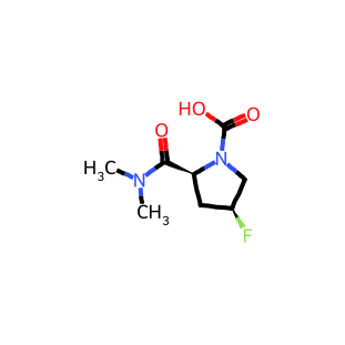 CN(C)C(=O)[C@@H]1C[C@H](F)CN1C(=O)O